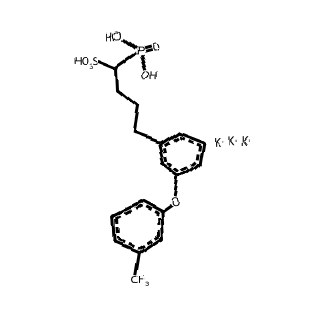 O=P(O)(O)C(CCCc1cccc(Oc2cccc(C(F)(F)F)c2)c1)S(=O)(=O)O.[K].[K].[K]